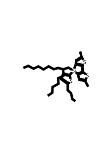 CCCCCCCCC(CCCCCC)C[Si]1(c2ccc(CCCC)s2)c2cc(C)sc2-c2sc(C)cc21